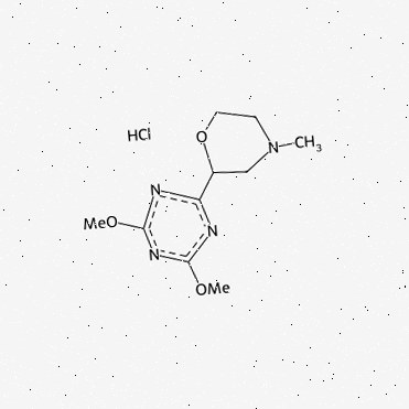 COc1nc(OC)nc(C2CN(C)CCO2)n1.Cl